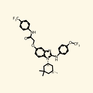 C[C@H]1C[C@@H](n2c(Nc3ccc(OC(F)(F)F)cc3)nc3cc(OCC(=O)Nc4ccc(C(F)(F)F)cc4)ccc32)CC(C)(C)C1